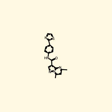 Cc1cc(C)n2ncc(C(=O)Nc3ccc(-c4nccs4)cc3)c2n1